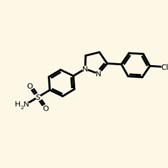 NS(=O)(=O)c1ccc(N2CCC(c3ccc(Cl)cc3)=N2)cc1